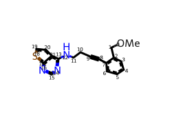 COCc1ccccc1C#CCCNc1ncnc2sccc12